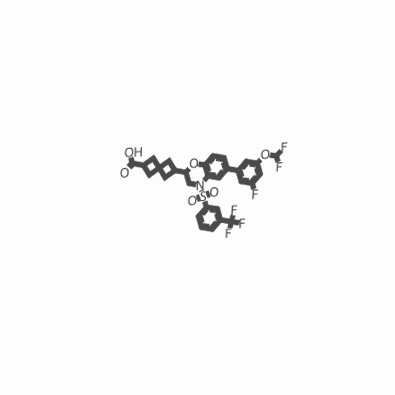 O=C(O)C1CC2(C1)CC(C1CN(S(=O)(=O)c3cccc(C(F)(F)F)c3)c3cc(-c4cc(F)cc(OC(F)F)c4)ccc3O1)C2